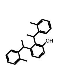 Cc1ccccc1C(C)c1cccc(O)c1C(C)c1ccccc1C